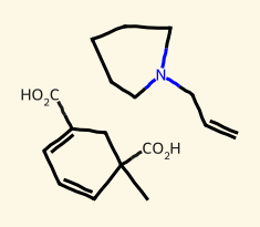 C=CCN1CCCCC1.CC1(C(=O)O)C=CC=C(C(=O)O)C1